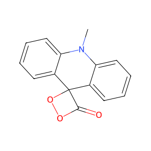 CN1c2ccccc2C2(OOC2=O)c2ccccc21